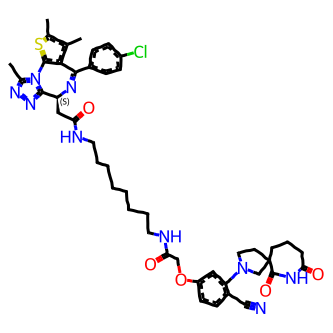 Cc1sc2c(c1C)C(c1ccc(Cl)cc1)=N[C@@H](CC(=O)NCCCCCCCCNC(=O)COc1ccc(C#N)c(N3CCC4(CCCC(=O)NC4=O)C3)c1)c1nnc(C)n1-2